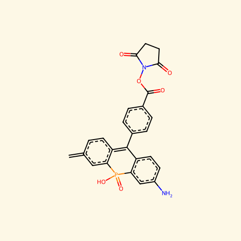 C=c1ccc2c(c1)P(=O)(O)c1cc(N)ccc1C=2c1ccc(C(=O)ON2C(=O)CCC2=O)cc1